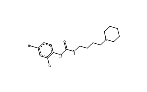 O=C(NCCCCN1CCCCC1)Nc1ccc(Br)cc1Cl